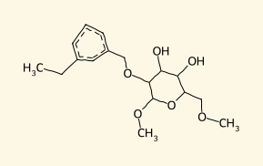 CCc1cccc(COC2C(OC)OC(COC)C(O)C2O)c1